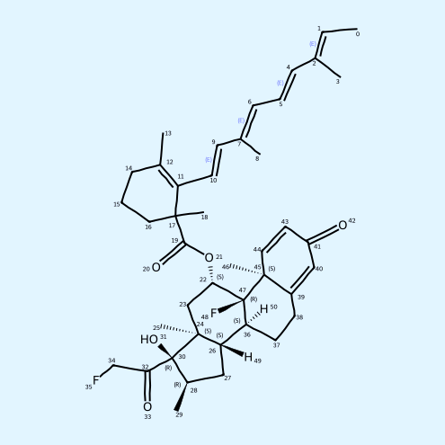 C/C=C(C)/C=C/C=C(C)/C=C/C1=C(C)CCCC1(C)C(=O)O[C@H]1C[C@@]2(C)[C@@H](C[C@@H](C)[C@]2(O)C(=O)CF)[C@@H]2CCC3=CC(=O)C=C[C@]3(C)[C@@]12F